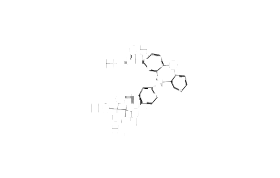 CC(C)(O)C(C)(C)Oc1ccc(N2c3ccccc3Oc3ccccc32)cc1.OBO